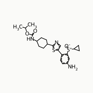 CC(C)OC(=O)NC1CCC(c2ncc(-c3ccc(N)cc3[S+]([O-])C3CC3)s2)CC1